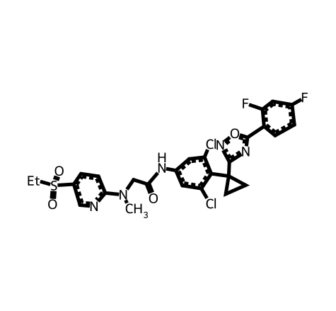 CCS(=O)(=O)c1ccc(N(C)CC(=O)Nc2cc(Cl)c(C3(c4noc(-c5ccc(F)cc5F)n4)CC3)c(Cl)c2)nc1